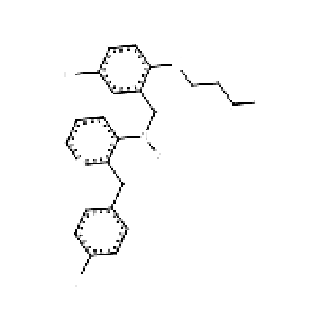 CCc1ccc(OCCCF)c(CN(C(C)=O)c2cccnc2Cc2ccc(F)cc2)c1